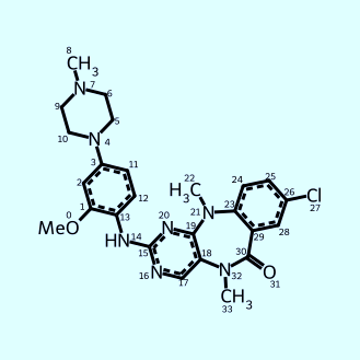 COc1cc(N2CCN(C)CC2)ccc1Nc1ncc2c(n1)N(C)c1ccc(Cl)cc1C(=O)N2C